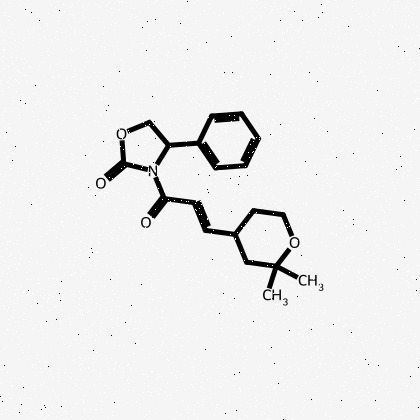 CC1(C)CC(/C=C/C(=O)N2C(=O)OCC2c2ccccc2)CCO1